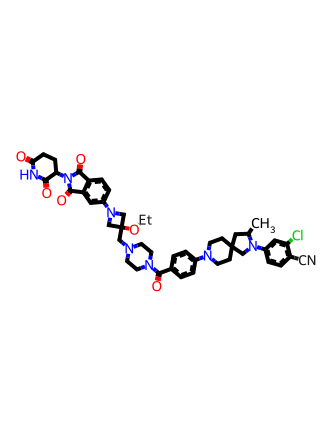 CCOC1(CN2CCN(C(=O)c3ccc(N4CCC5(CC4)CC(C)N(c4ccc(C#N)c(Cl)c4)C5)cc3)CC2)CN(c2ccc3c(c2)C(=O)N(C2CCC(=O)NC2=O)C3=O)C1